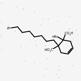 CCCCC1(C(=O)O)CC=CCC1(CCCCCCCC(C)C)C(=O)O